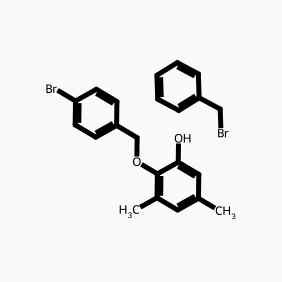 BrCc1ccccc1.Cc1cc(C)c(OCc2ccc(Br)cc2)c(O)c1